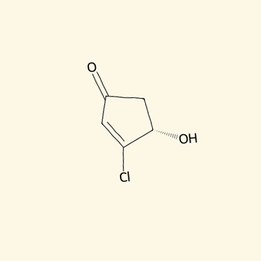 O=C1C=C(Cl)[C@@H](O)C1